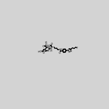 N#C/N=C(\NC(CCC(=O)O)C(=O)O)N[C@@H](CCCCNC(=O)c1ccc(-n2cc(CCCF)nn2)cc1)C(=O)O